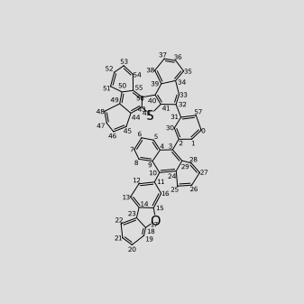 c1cc(-c2c3ccccc3c(-c3ccc4c(c3)oc3ccccc34)c3ccccc23)cc(-c2cc3ccccc3c3c2sc2c4ccccc4c4ccccc4c23)c1